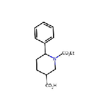 CCOC(=O)N1CC(C(=O)O)CCC1c1ccccc1